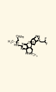 COC[C@@H](C)Nc1nc2c(c(OC)n1)C(c1ccc3nnn(CC(F)F)c3c1)=C[C@@H](C)NC2